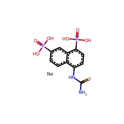 NC(=S)Nc1ccc(P(=O)(O)O)c2cc(P(=O)(O)O)ccc12.[Na]